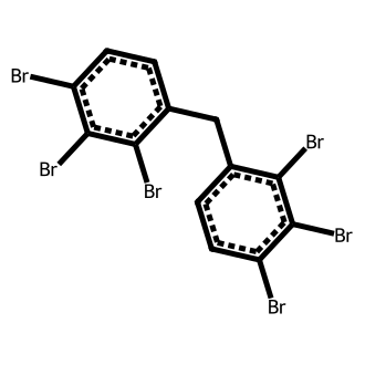 Brc1ccc(Cc2ccc(Br)c(Br)c2Br)c(Br)c1Br